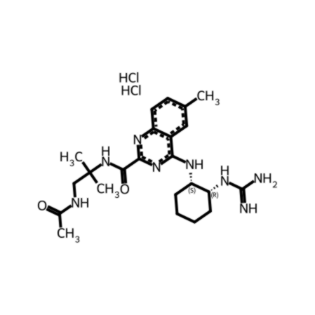 CC(=O)NCC(C)(C)NC(=O)c1nc(N[C@H]2CCCC[C@H]2NC(=N)N)c2cc(C)ccc2n1.Cl.Cl